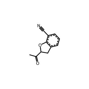 CC(=O)C1Cc2cccc(C#N)c2O1